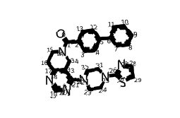 O=C(c1ccc(-c2ccccc2)cc1)N1CCc2ncnc(N3CCN(c4nccs4)CC3)c2C1